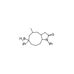 BC1(C(C)C)CCCC2C(CC(=S)N2C(C)C)CC(C)C1